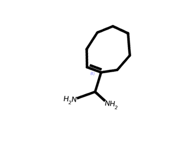 NC(N)/C1=C/CCCCCC1